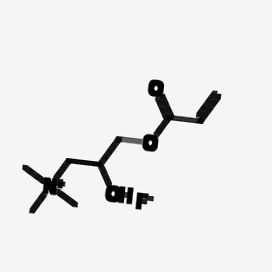 C=CC(=O)OCC(O)C[N+](C)(C)C.[F-]